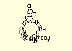 C[C@@H]1[C@@H](C)C[C@@H](N(C)CC(=O)O)C[C@@H](O)[C@@H]2CC[C@H]2CN2C[C@@]3(CCCc4cc(Cl)ccc43)COc3ccc(cc32)C(=O)NS1(=O)=O